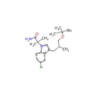 CC(CO[Si](C)(C)C(C)(C)C)Cc1cn(C(C)(C)C(N)=O)c2ccc(Br)cc12